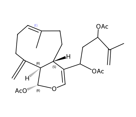 C=C(C)C(CC(OC(C)=O)C1=CO[C@H](OC(C)=O)[C@H]2C(=C)CC/C=C(\C)CC[C@H]12)OC(C)=O